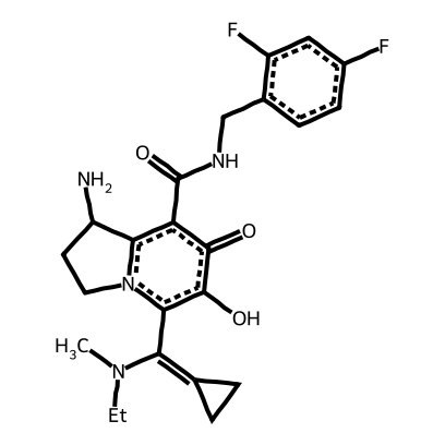 CCN(C)C(=C1CC1)c1c(O)c(=O)c(C(=O)NCc2ccc(F)cc2F)c2n1CCC2N